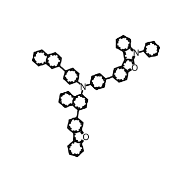 c1ccc(-n2c3ccccc3c3c4cc(-c5ccc(N(c6ccc(-c7ccc8ccccc8c7)cc6)c6ccc(-c7ccc8c(c7)oc7ccccc78)c7ccccc67)cc5)ccc4oc32)cc1